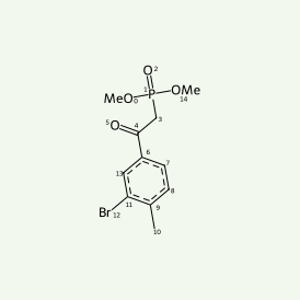 COP(=O)(CC(=O)c1ccc(C)c(Br)c1)OC